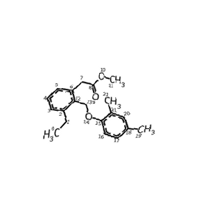 CCc1cccc(CC(=O)OC)c1COc1ccc(C)cc1C